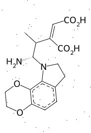 CC(/C(=C/C(=O)O)C(=O)O)[C@@H](N)N1CCc2ccc3c(c21)OCCO3